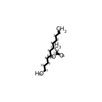 C=CCCCCCCCCCCO.CC(=O)O